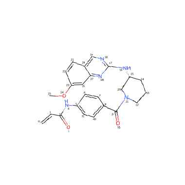 C=CC(=O)Nc1ccc(C(=O)N2CCC[C@@H](Nc3ncc4ccc(OC)cc4n3)C2)cc1